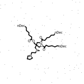 CCCCCCCCCCCCCCCC(=O)OCC(COC(=O)CCCCCCCCCCCCCCC)(COC(=O)CCCCCCCCCCCCCCC)CN(C)CCN1CCCC1